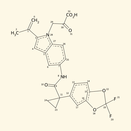 C=C(C)c1cc2cc(NC(=O)C3(c4ccc5c(c4)OC(F)(F)O5)CC3)ccc2n1CC(=O)C(=O)O